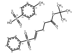 CC(C)(C)OC(=O)CCC=CS(=O)(=O)c1ccccc1.Cc1ccc(S(=O)(=O)O)cc1